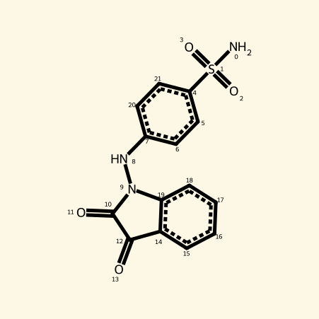 NS(=O)(=O)c1ccc(NN2C(=O)C(=O)c3ccccc32)cc1